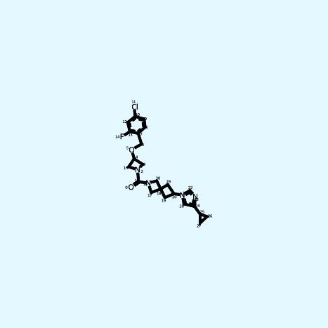 O=C(N1CC(OCc2ccc(Cl)cc2F)C1)N1CC2(CC(n3cnc(C4CC4)c3)C2)C1